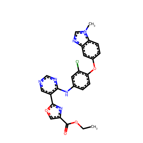 CCOC(=O)c1coc(-c2cncnc2Nc2ccc(Oc3ccc4c(c3)ncn4C)c(Cl)c2)n1